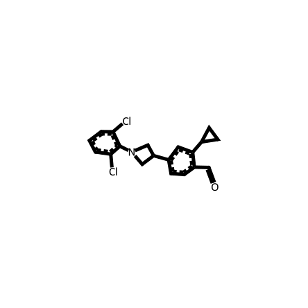 O=Cc1ccc(C2CN(c3c(Cl)cccc3Cl)C2)cc1C1CC1